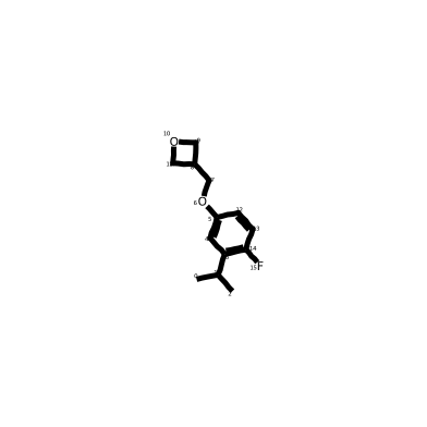 CC(C)c1cc(OCC2COC2)ccc1F